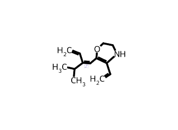 C=CC1=C(/C=C(\C=C)C(C)C)OCCN1